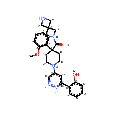 COc1ccccc1C1(C(=O)N2CC3(CNC3)C2)CCN(c2cnnc(-c3ccccc3O)c2)CC1